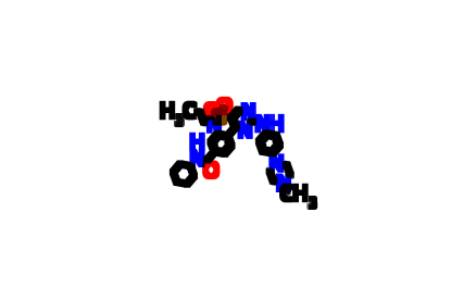 CCCN1c2cc(C(=O)NC3CCCCC3)ccc2-c2nc(Nc3ccc(N4CCN(C)CC4)cc3)ncc2S1(=O)=O